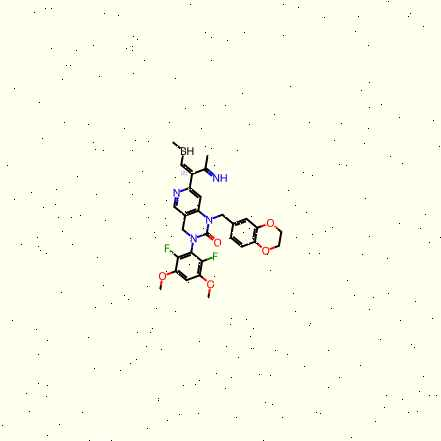 CB/C=C(\C(C)=N)c1cc2c(cn1)CN(c1c(F)c(OC)cc(OC)c1F)C(=O)N2Cc1ccc2c(c1)OCCO2